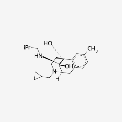 Cc1ccc2c(c1)[C@]13CCN(CC4CC4)[C@H](C2)[C@]1(O)C[C@@H](NCC(C)C)[C@H](O)C3